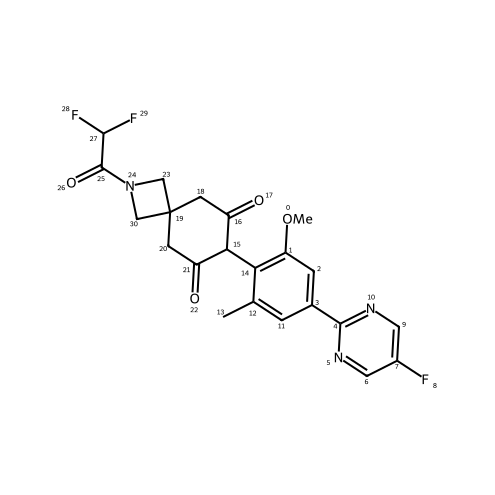 COc1cc(-c2ncc(F)cn2)cc(C)c1C1C(=O)CC2(CC1=O)CN(C(=O)C(F)F)C2